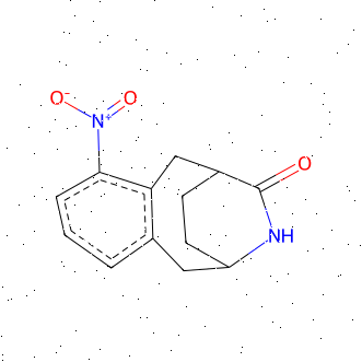 O=C1NC2CCC1Cc1c(cccc1[N+](=O)[O-])C2